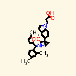 Cc1ccc(C(NC(=O)C2(c3ccc4c(ccn4CCC(=O)O)c3)CC2)c2ccc(C)o2)c(C)c1